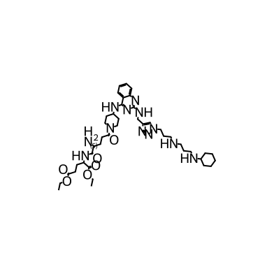 CCOC(=O)CCC(NC(=O)[C@@H](N)CCC(=O)N1CCC(Nc2nc(NCc3cn(CCCNCCCNC4CCCCC4)nn3)nc3ccccc23)CC1)C(=O)OCC